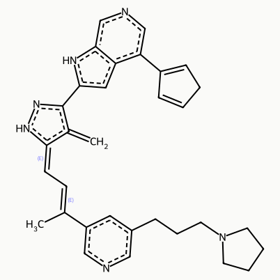 C=c1c(-c2cc3c(C4=CCC=C4)cncc3[nH]2)n[nH]/c1=C/C=C(\C)c1cncc(CCCN2CCCC2)c1